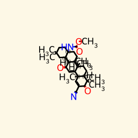 COC(=O)N[C@]12CCC(C)(C)C[C@H]1[C@H]1C(=O)C=C3[C@@]4(C)C=C(C#N)C(=O)C(C)(C)[C@@H]4CC[C@@]3(C)[C@]1(C)CC2